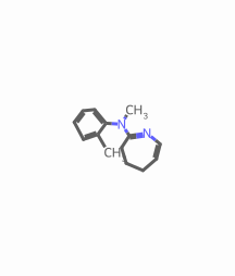 Cc1ccccc1N(C)C1=NC=CCCC1